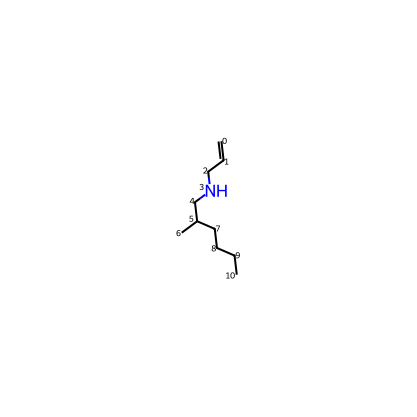 C=CCNCC(C)CCCC